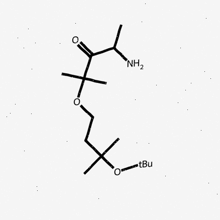 CC(N)C(=O)C(C)(C)OCCC(C)(C)OC(C)(C)C